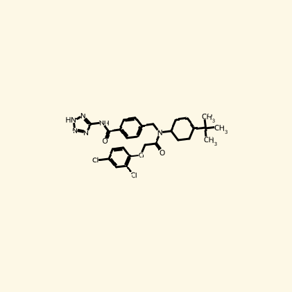 CC(C)(C)C1CCC(N(Cc2ccc(C(=O)Nc3nn[nH]n3)cc2)C(=O)COc2ccc(Cl)cc2Cl)CC1